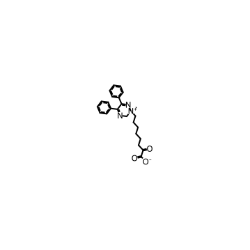 C[N+]1(CCCCCCC(=O)C(=O)[O-])CN=C(c2ccccc2)C(c2ccccc2)=N1